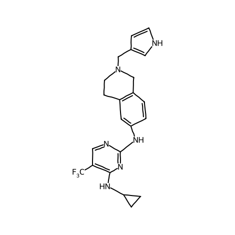 FC(F)(F)c1cnc(Nc2ccc3c(c2)CCN(Cc2cc[nH]c2)C3)nc1NC1CC1